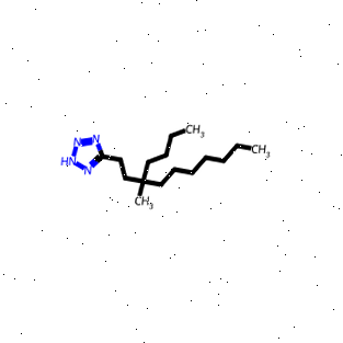 CCCCCCCC(C)(CCCC)CCc1nn[nH]n1